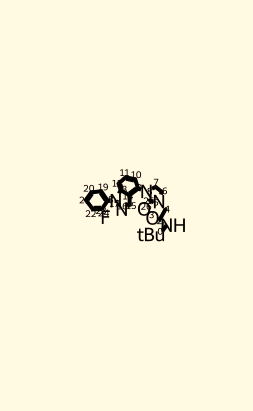 CC(C)(C)NC(=O)CN1CCN(c2cccc3c2cnn3-c2ccccc2F)C1=O